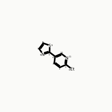 CCc1ccc(-c2nccs2)cn1